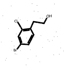 OCCc1c[c]c(Br)cc1Cl